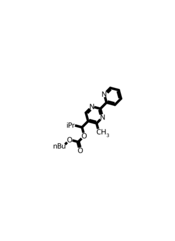 CCCCOC(=O)OC(c1cnc(-c2ccccn2)nc1C)C(C)C